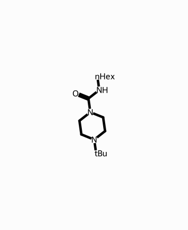 CCCCCCNC(=O)N1CCN(C(C)(C)C)CC1